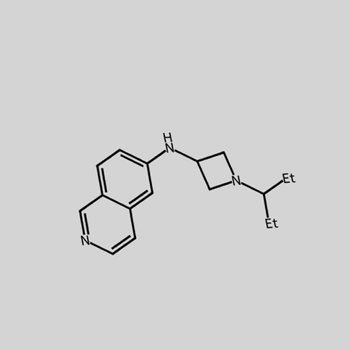 CCC(CC)N1CC(Nc2ccc3cnccc3c2)C1